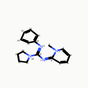 Cn1ccccc1=NC(=Nc1ccccc1)N1CCCC1